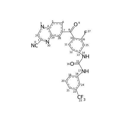 N#Cc1cnc2ccc(C(=O)c3ccc(NC(=O)Nc4cccc(C(F)(F)F)c4)cc3F)cc2n1